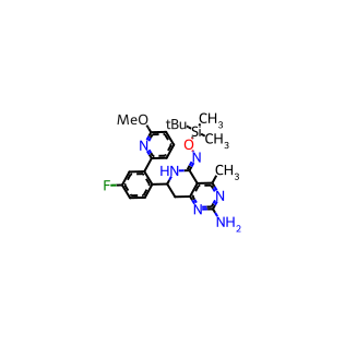 COc1cccc(-c2cc(F)ccc2C2Cc3nc(N)nc(C)c3C(=NO[Si](C)(C)C(C)(C)C)N2)n1